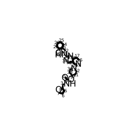 O=C(NCc1ccco1)OC1CCN(c2nccc3nc(NCc4ccccc4Cl)ncc23)CC1